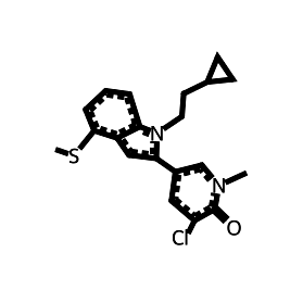 CSc1cccc2c1cc(-c1cc(Cl)c(=O)n(C)c1)n2CCC1CC1